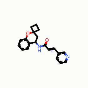 O=C(/C=C/c1cccnc1)NC1CC2(CCC2)Oc2ccccc21